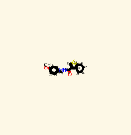 COc1ccc(CNC(=O)c2[c]sc3c2CCCC3)cc1